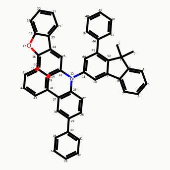 CC1(C)c2ccccc2-c2cc(N(c3ccc4oc5ccccc5c4c3)c3ccc(-c4ccccc4)cc3-c3ccccc3)cc(-c3ccccc3)c21